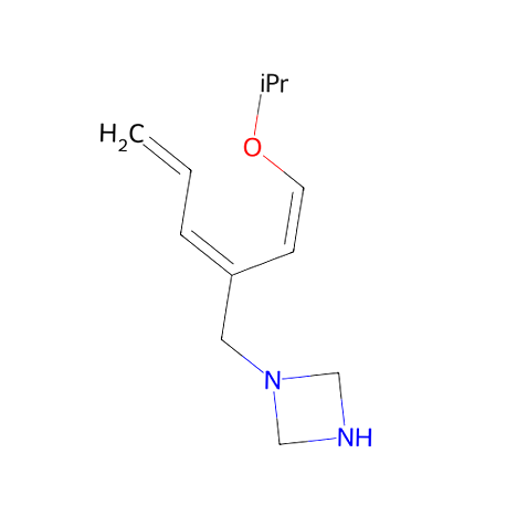 C=C/C=C(\C=C/OC(C)C)CN1CNC1